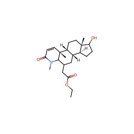 CCOC(=O)CC1C[C@@H]2[C@@H](CC[C@]3(C)C(O)CC[C@@H]23)[C@@]2(C)C=CC(=O)N(C)C12